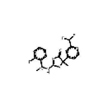 C[C@H](NC1=NC(=O)C(C)(c2ccnc(C(F)F)c2)S1)c1ccccc1F